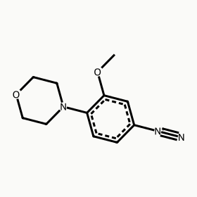 COc1cc([N+]#N)ccc1N1CCOCC1